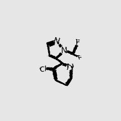 FC(F)n1nc[c]c1-c1ncccc1Cl